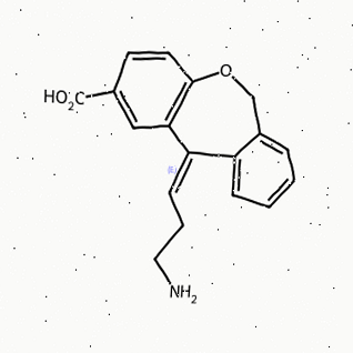 NCC/C=C1\c2ccccc2COc2ccc(C(=O)O)cc21